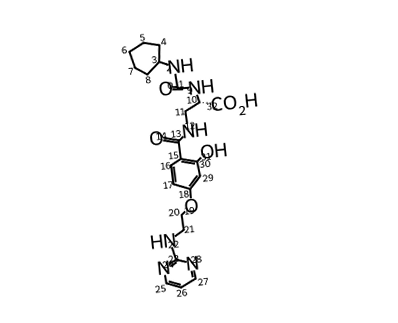 O=C(NC1CCCCC1)N[C@@H](CNC(=O)c1ccc(OCCNc2ncccn2)cc1O)C(=O)O